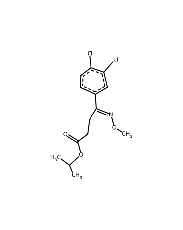 CON=C(CCC(=O)OC(C)C)c1ccc(Cl)c(Cl)c1